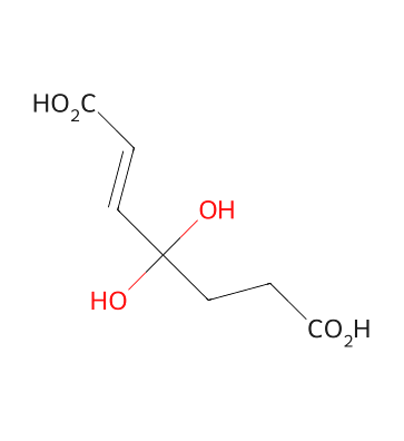 O=C(O)C=CC(O)(O)CCC(=O)O